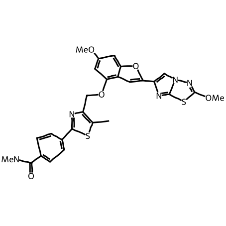 CNC(=O)c1ccc(-c2nc(COc3cc(OC)cc4oc(-c5cn6nc(OC)sc6n5)cc34)c(C)s2)cc1